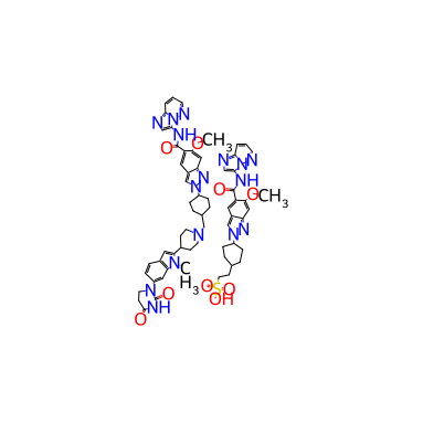 COc1cc2nn(C3CCC(CCS(=O)(=O)O)CC3)cc2cc1C(=O)Nc1cnc2cccnn12.COc1cc2nn(C3CCC(CN4CCC(c5cc6ccc(N7CCC(=O)NC7=O)cc6n5C)CC4)CC3)cc2cc1C(=O)Nc1cnc2cccnn12